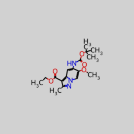 CCOC(=O)c1c(C)nn2cc(OC)c(NC(=O)OC(C)(C)C)cc12